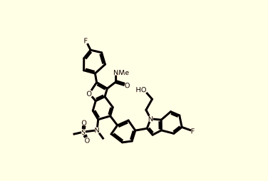 CNC(=O)c1c(-c2ccc(F)cc2)oc2cc(N(C)S(C)(=O)=O)c(-c3cccc(-c4cc5cc(F)ccc5n4CCO)c3)cc12